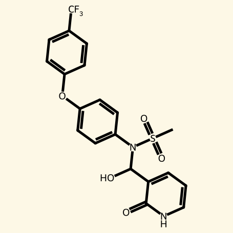 CS(=O)(=O)N(c1ccc(Oc2ccc(C(F)(F)F)cc2)cc1)C(O)c1ccc[nH]c1=O